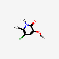 COc1cc(Br)c(C)n(C)c1=O